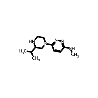 CBc1ccc(N2CCNC(C(C)C)C2)nn1